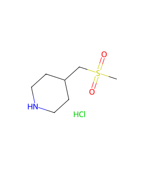 CS(=O)(=O)CC1CCNCC1.Cl